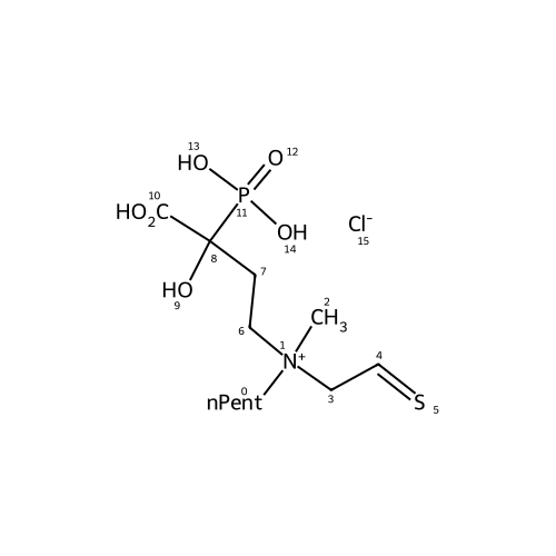 CCCCC[N+](C)(CC=S)CCC(O)(C(=O)O)P(=O)(O)O.[Cl-]